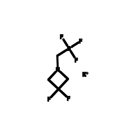 F[B-](F)(F)CN1CC(F)(F)C1.[K+]